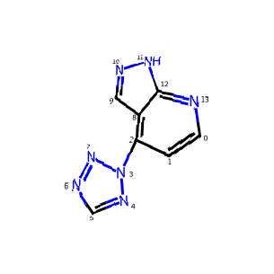 c1cc(-n2ncnn2)c2cn[nH]c2n1